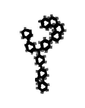 c1ccc(-c2cccc(N(c3ccc(-c4ccc5c(c4)oc4ccccc45)cc3)c3ccc(-c4ccc5ccc6ccc7ccccc7c6c5c4)cc3)c2)cc1